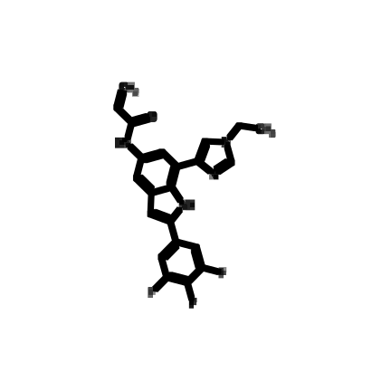 C=CC(=O)Nc1cc(-c2cn(CC)cn2)c2[nH]c(-c3cc(F)c(F)c(F)c3)cc2c1